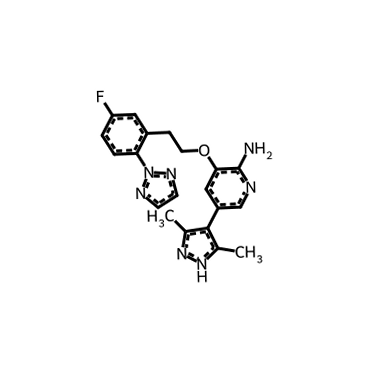 Cc1n[nH]c(C)c1-c1cnc(N)c(OCCc2cc(F)ccc2-n2nccn2)c1